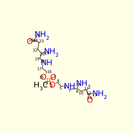 CP(=O)(OCCNCC(N)CCC(N)=O)OCCNCC(N)CCC(N)=O